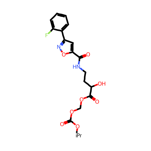 CC(C)OC(=O)OCOC(=O)C(O)CCNC(=O)c1cc(-c2ccccc2F)no1